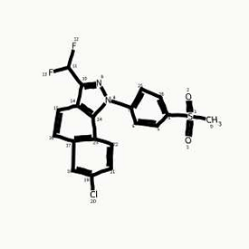 CS(=O)(=O)c1ccc(-n2nc(C(F)F)c3ccc4cc(Cl)ccc4c32)cc1